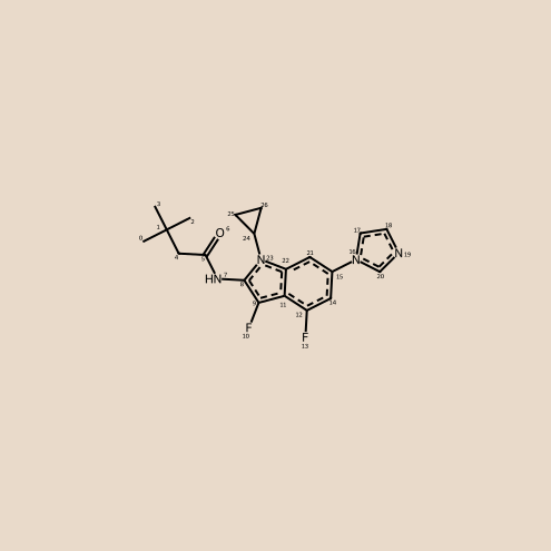 CC(C)(C)CC(=O)Nc1c(F)c2c(F)cc(-n3ccnc3)cc2n1C1CC1